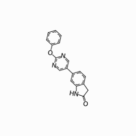 O=C1Cc2ccc(-c3cnc(Oc4ccccc4)nc3)cc2N1